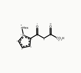 CCCCCCn1cccc1C(=O)CC(=O)C(=O)O